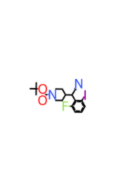 CC(C)(C)OC(=O)N1CCC(C(C#N)c2c(F)cccc2I)CC1